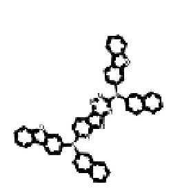 c1ccc2cc(N(c3ccc4c(c3)oc3ccccc34)c3ccc4c(n3)oc3nc(N(c5ccc6ccccc6c5)c5ccc6c(c5)oc5ccccc56)nnc34)ccc2c1